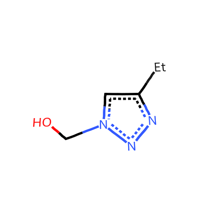 CCc1cn(CO)nn1